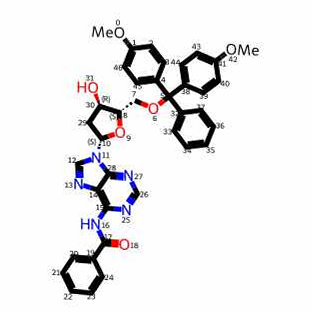 COc1ccc(C(OC[C@@H]2O[C@H](n3cnc4c(NC(=O)c5ccccc5)ncnc43)C[C@H]2O)(c2ccccc2)c2ccc(OC)cc2)cc1